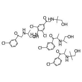 CC(C)(CO)NCC(=O)c1cc(Cl)c(N)c(Cl)c1.CC(CO)NC(C)C(=O)c1cccc(Cl)c1.CC(CO)NCC(=O)c1cccc(Cl)c1.CC(NC(C)(C)CO)C(=O)c1cccc(Cl)c1